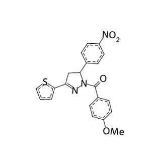 COc1ccc(C(=O)N2N=C(c3cccs3)CC2c2ccc([N+](=O)[O-])cc2)cc1